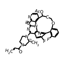 C=CC(=O)N1CCN(c2nc(=O)n3c4nc(c(F)cc24)-c2c(F)cccc2OCCC(OC(C)=O)c2ccnc(C(C)C)c2-3)[C@@H](C)C1